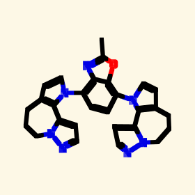 Cc1nc2c(-n3ccc4c3-c3ccnn3CCC4)ccc(-n3ccc4c3-c3ccnn3CCC4)c2o1